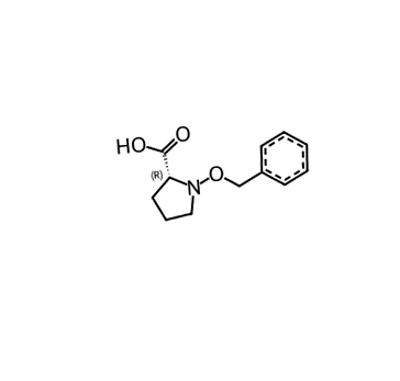 O=C(O)[C@H]1CCCN1OCc1ccccc1